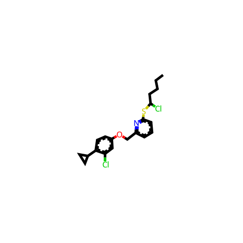 CCCCC(Cl)Sc1cccc(COc2ccc(C3CC3)c(Cl)c2)n1